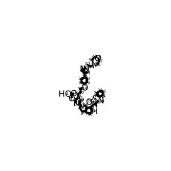 O=C(O)Oc1nc(N2CCc3cccc(C(=O)Nc4nc5ccccc5s4)c3C2)sc1CCCOc1ccc(-c2cnn(CCN3CCOCC3)c2)cc1